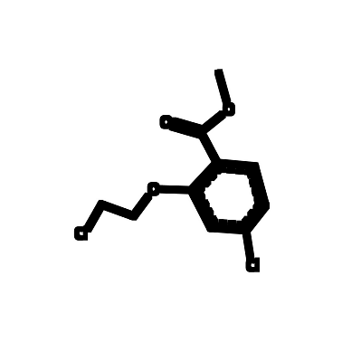 COC(=O)c1ccc(Cl)cc1OCCCl